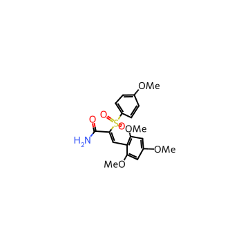 COc1ccc(S(=O)(=O)C(=Cc2c(OC)cc(OC)cc2OC)C(N)=O)cc1